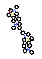 c1ccc(N(c2ccccc2)c2ccc3c(c2)C2(c4ccccc4-3)c3cc(N(c4ccccc4)c4cccc5cc(-c6ccc7c(c6)c6ccccc6n7-c6ccc7c(c6)C6(c8ccccc8-7)c7cc(N(c8ccccc8)c8ccccc8)ccc7-c7c6sc6ccccc76)ccc45)ccc3-c3c2sc2ccccc32)cc1